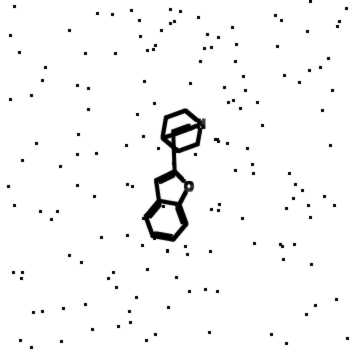 C1=C(c2cc3ccccc3o2)C2CCN1CC2